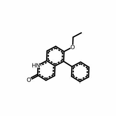 CCOc1ccc2[nH]c(=O)ccc2c1-c1c[c]ccc1